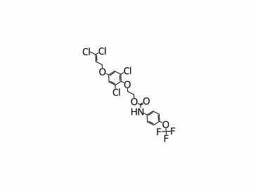 O=C(Nc1ccc(OC(F)(F)F)cc1)OCCOc1c(Cl)cc(OCC=C(Cl)Cl)cc1Cl